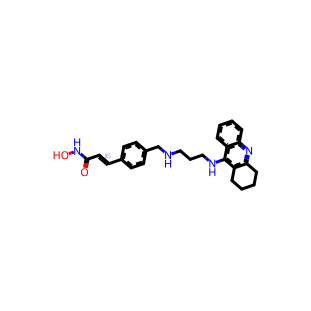 O=C(/C=C/c1ccc(CNCCCNc2c3c(nc4ccccc24)CCCC3)cc1)NO